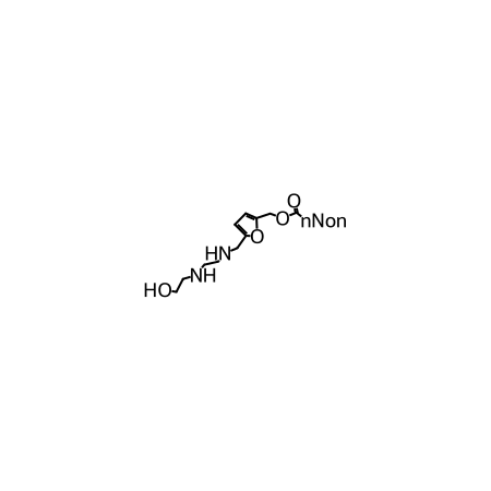 CCCCCCCCCC(=O)OCc1ccc(CNCCNCCO)o1